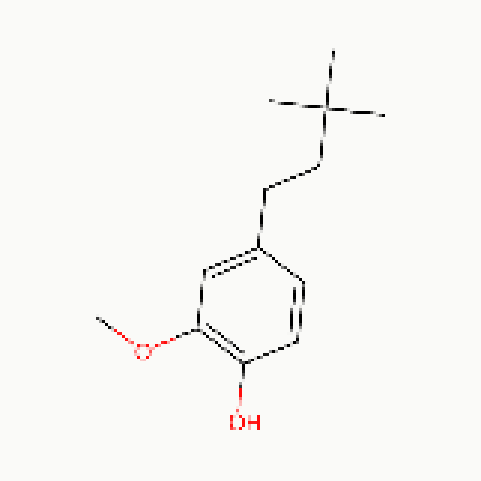 COc1cc(CCC(C)(C)C)ccc1O